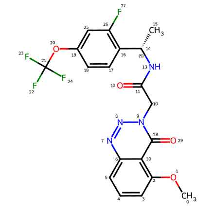 COc1cccc2nnn(CC(=O)N[C@@H](C)c3ccc(OC(F)(F)F)cc3F)c(=O)c12